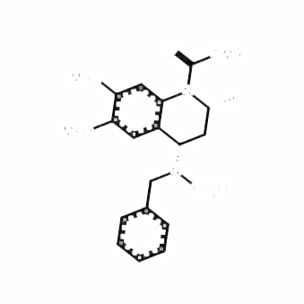 CCOC(=O)N(Cc1ccccc1)[C@H]1C[C@@H](C)N(C(=O)OC)c2cc(OC)c(OC)cc21